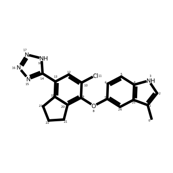 Cc1c[nH]c2ccc(Oc3c(Cl)cc(-c4nnn[nH]4)c4c3CCC4)cc12